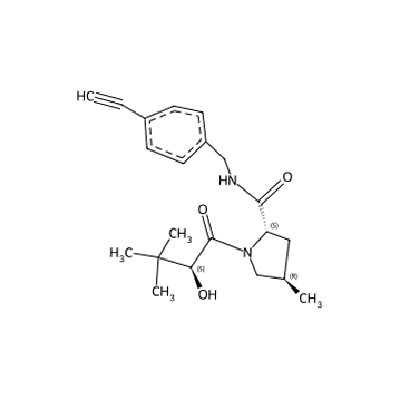 C#Cc1ccc(CNC(=O)[C@@H]2C[C@@H](C)CN2C(=O)[C@@H](O)C(C)(C)C)cc1